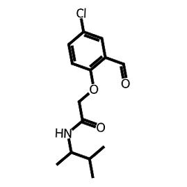 CC(C)C(C)NC(=O)COc1ccc(Cl)cc1C=O